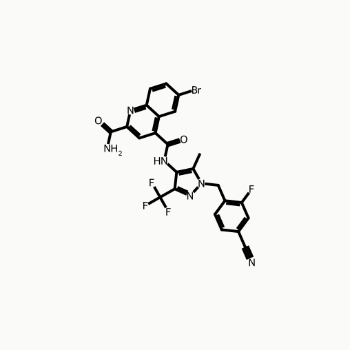 Cc1c(NC(=O)c2cc(C(N)=O)nc3ccc(Br)cc23)c(C(F)(F)F)nn1Cc1ccc(C#N)cc1F